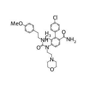 COc1ccc(CCNC(=O)N(CCN2CCOCC2)c2ccc(C(N)=O)c(-c3ccc(Cl)cc3)c2C)cc1